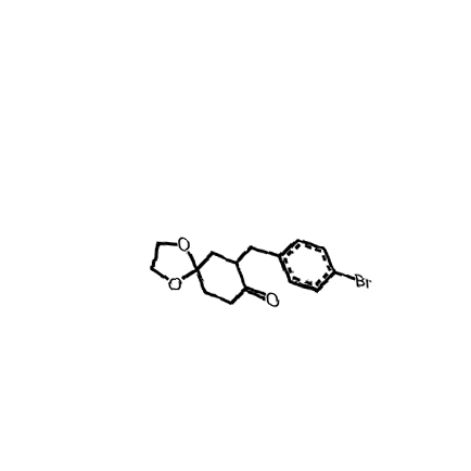 O=C1CCC2(CC1Cc1ccc(Br)cc1)OCCO2